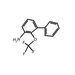 Nc1cccc(-c2ccccc2)c1OC(F)(F)F